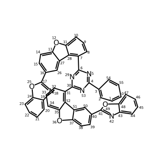 c1ccc(-c2nc(-c3cccc4oc5ccc(-c6nc7ccccc7o6)cc5c34)nc(-c3cccc4oc5ccc(-c6nc7ccccc7o6)cc5c34)n2)cc1